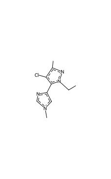 CCn1nc(C)c(Cl)c1-c1cn(C)cn1